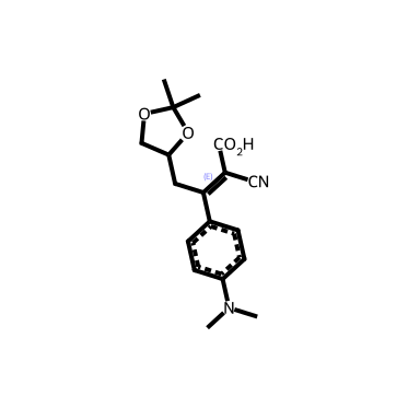 CN(C)c1ccc(/C(CC2COC(C)(C)O2)=C(\C#N)C(=O)O)cc1